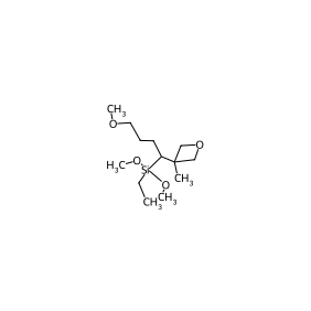 CC[Si](OC)(OC)C(CCCOC)C1(C)COC1